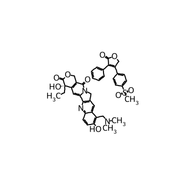 CC[C@@]1(O)C(=O)OCc2c1cc1n(c2=O)Cc2cc3c(CN(C)C)c(O)ccc3nc2-1.CS(=O)(=O)c1ccc(C2=C(c3ccccc3)C(=O)OC2)cc1